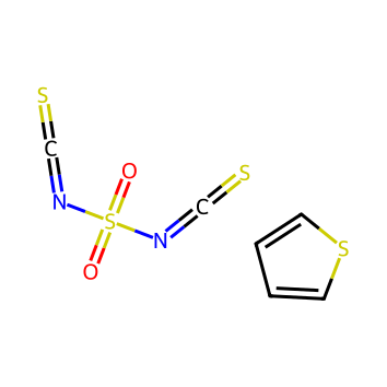 O=S(=O)(N=C=S)N=C=S.c1ccsc1